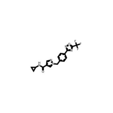 O=C(NC1CC1)c1cnn(Cc2ccc(-c3noc(C(F)(F)F)n3)cc2)c1